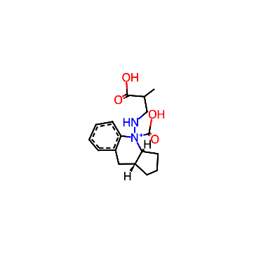 CC(CN[N+]1(C(=O)O)c2ccccc2C[C@H]2CCC[C@H]21)C(=O)O